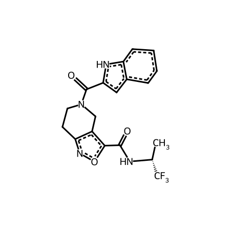 C[C@@H](NC(=O)c1onc2c1CN(C(=O)c1cc3ccccc3[nH]1)CC2)C(F)(F)F